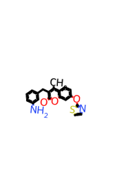 Cc1c(Cc2cccc(N)c2)c(=O)oc2cc(Oc3nccs3)ccc12